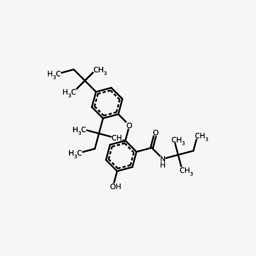 CCC(C)(C)NC(=O)c1cc(O)ccc1Oc1ccc(C(C)(C)CC)cc1C(C)(C)CC